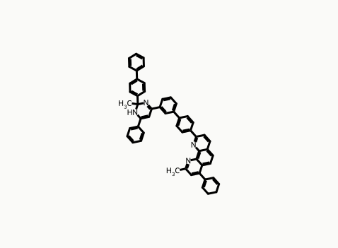 Cc1cc(C2=CCCC=C2)c2ccc3ccc(-c4ccc(-c5cccc(C6=NC(C)(c7ccc(-c8ccccc8)cc7)NC(c7ccccc7)=C6)c5)cc4)nc3c2n1